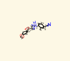 N#Cc1ccc(CNc2ncc(C(=O)c3ccc4c(c3)OCCO4)cn2)cc1